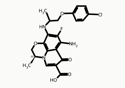 CC(COc1ccc(Cl)cc1)Nc1c(F)c(N)c2c(=O)c(C(=O)O)cn3c2c1OC[C@@H]3C